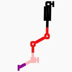 C#COOBI